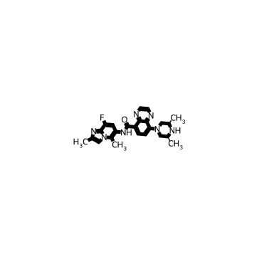 Cc1cn2c(C)c(NC(=O)c3ccc(N4C[C@@H](C)N[C@@H](C)C4)c4nccnc34)cc(F)c2n1